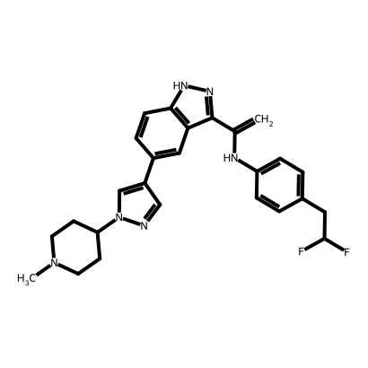 C=C(Nc1ccc(CC(F)F)cc1)c1n[nH]c2ccc(-c3cnn(C4CCN(C)CC4)c3)cc12